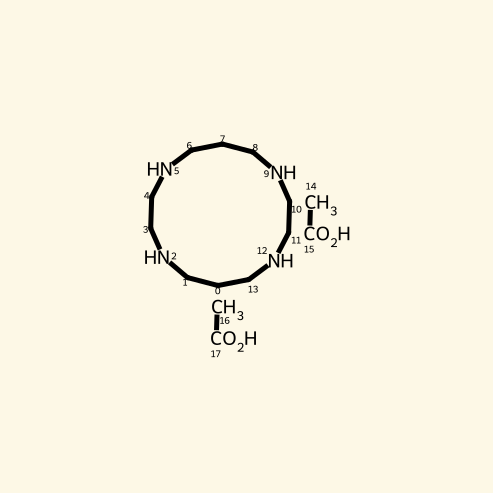 C1CNCCNCCCNCCNC1.CC(=O)O.CC(=O)O